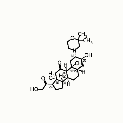 CC1(C)CN([C@H]2C[C@@]3(C)[C@@H](CC[C@H]4[C@@H]5CC[C@H](C(=O)CO)[C@@]5(C)CC(=O)[C@@H]43)C[C@@H]2O)CCO1